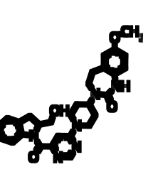 COc1ccc2c(c1)CCN(C1CCN(c3cc(C(=O)N4c5ccccc5CC4CO)ncn3)CC1)C(=O)N2